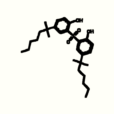 CCCCCC(C)(C)c1ccc(O)c(S(=O)(=O)c2cc(C(C)(C)CCCCC)ccc2O)c1